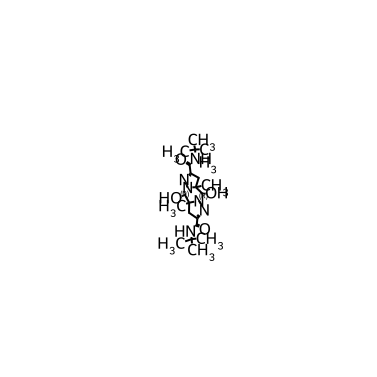 CC(C)(C)NC(=O)C1=NN2[C@H](O)C3(C)CC(C(=O)NC(C)(C)C)=NN3[C@H](O)C2(C)C1